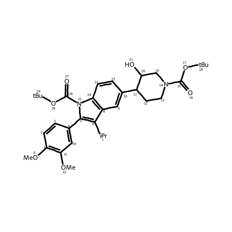 COc1ccc(-c2c(C(C)C)c3cc(C4CCN(C(=O)OC(C)(C)C)CC4O)ccc3n2C(=O)OC(C)(C)C)cc1OC